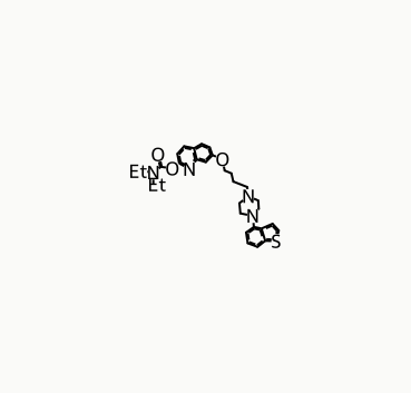 CCN(CC)C(=O)Oc1ccc2ccc(OCCCCN3CCN(c4cccc5sccc45)CC3)cc2n1